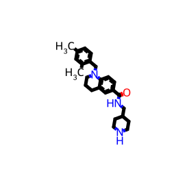 Cc1ccc(CN2CCCc3cc(C(=O)NCC4CCNCC4)ccc32)c(C)c1